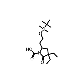 CCC1(CC)CC(CCO[Si](C)(C)C(C)(C)C)N(C(=O)O)C1=O